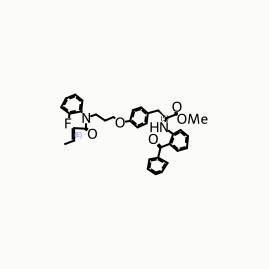 C/C=C/C(=O)N(CCCOc1ccc(C[C@H](Nc2ccccc2C(=O)c2ccccc2)C(=O)OC)cc1)c1ccccc1F